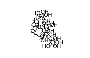 C[C@H](CC[C@@H](O[C@@H]1O[C@H](CO[C@H]2O[C@H](CO)[C@@H](O)[C@H](O)C2O)[C@@H](O)[C@H](O)[C@H]1O[C@H]1O[C@@H](CO)[C@H](O)[C@@H](O)[C@@H]1O)C(C)(C)O)C1CC[C@@]2(C)C3CC=C4C(CC[C@H](O[C@@H]5O[C@H](CO)[C@@H](O)[C@H](O)[C@H]5O)C4(C)C)[C@]3(C)[C@H](O)C[C@]12C